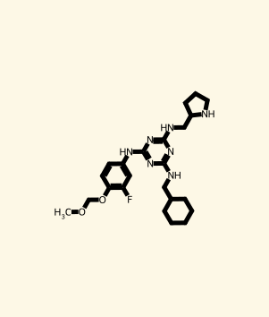 COCOc1ccc(Nc2nc(NCC3CCCCC3)nc(NCC3CCCN3)n2)cc1F